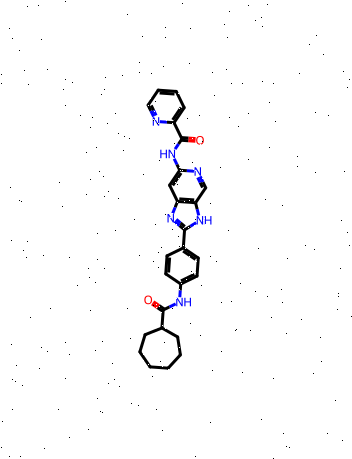 O=C(Nc1cc2nc(-c3ccc(NC(=O)C4CCCCCC4)cc3)[nH]c2cn1)c1ccccn1